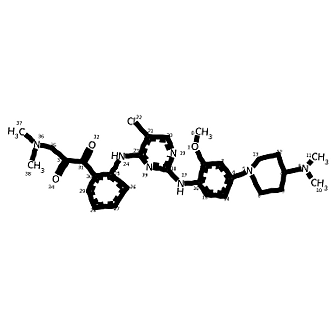 COc1cc(N2CCC(N(C)C)CC2)ccc1Nc1ncc(Cl)c(Nc2ccccc2C(=O)C(=O)CN(C)C)n1